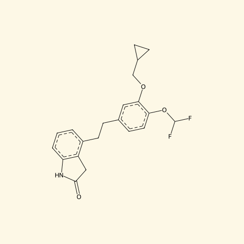 O=C1Cc2c(CCc3ccc(OC(F)F)c(OCC4CC4)c3)cccc2N1